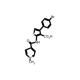 C[n+]1ccc(C(=O)Nc2scc(-c3ccc(Br)cc3)c2C(=O)O)cc1